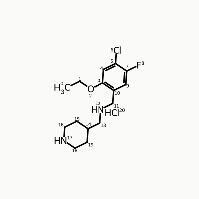 CCOc1cc(Cl)c(F)cc1CNCC1CCNCC1.Cl